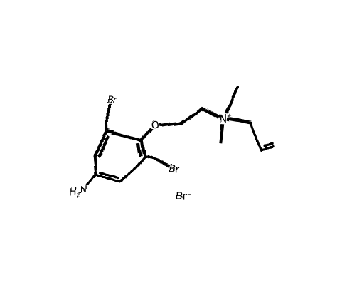 C=CC[N+](C)(C)CCOc1c(Br)cc(N)cc1Br.[Br-]